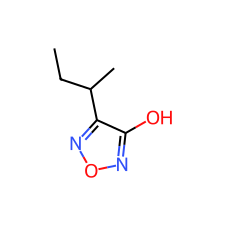 CCC(C)c1nonc1O